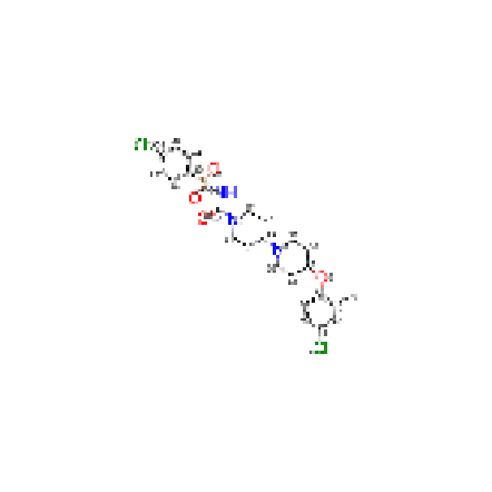 Cc1cc(Cl)ccc1OC1CCN(C2CCN(C(=O)NS(=O)(=O)c3ccc(Cl)cc3)CC2)CC1